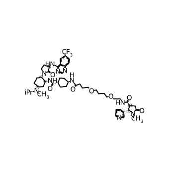 CC(C)N(C)[C@@H]1CC[C@H](N2CC[C@H](Nc3ncnc4ccc(C(F)(F)F)cc34)C2=O)[C@H](NC(=O)[C@H]2CC[C@H](NC(=O)CCCOCCCCOCCNC(=O)[C@H]3CC(=O)N(C)[C@@H]3c3cccnc3)CC2)C1